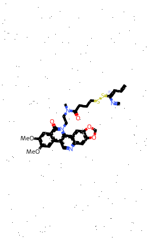 C=C/C=C(\N=C)SSCCCC(=O)N(C)CCn1c(=O)c2cc(OC)c(OC)cc2c2cnc3cc4c(cc3c21)OCO4